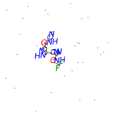 CN1CCC(NC(=O)c2cnc3[nH]cc(-c4ccn5ncc(C(=O)NCC(F)F)c5c4)c3c2)CC1